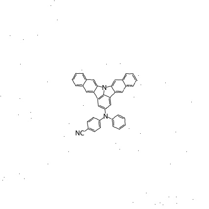 N#Cc1ccc(N(c2ccccc2)c2cc3c4cc5ccccc5cc4n4c5cc6ccccc6cc5c(c2)c34)cc1